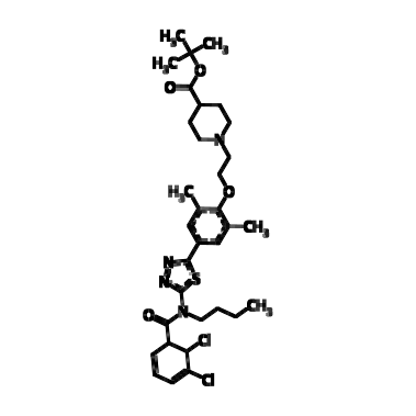 CCCCN(C(=O)C1C=CC=C(Cl)C1Cl)c1nnc(-c2cc(C)c(OCCN3CCC(C(=O)OC(C)(C)C)CC3)c(C)c2)s1